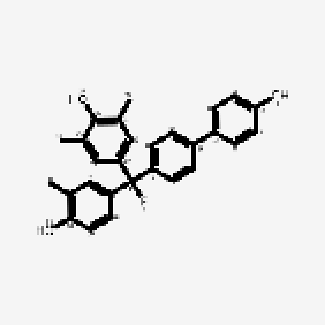 Cc1cc(C(F)(c2ccc(-c3ccc(O)cc3)cc2)c2cc(C)c(O)c(C)c2)ccc1O